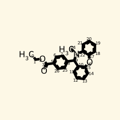 CCOC(=O)c1ccc(C2c3ccccc3Oc3ccccc3N2C)cc1